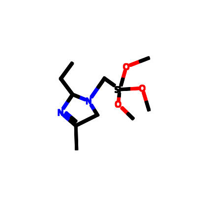 CCC1N=C(C)CN1C[Si](OC)(OC)OC